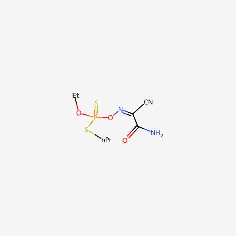 CCCSP(=S)(OCC)ON=C(C#N)C(N)=O